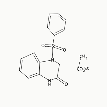 CCOC(C)=O.O=C1CN(S(=O)(=O)c2ccccc2)c2ccccc2N1